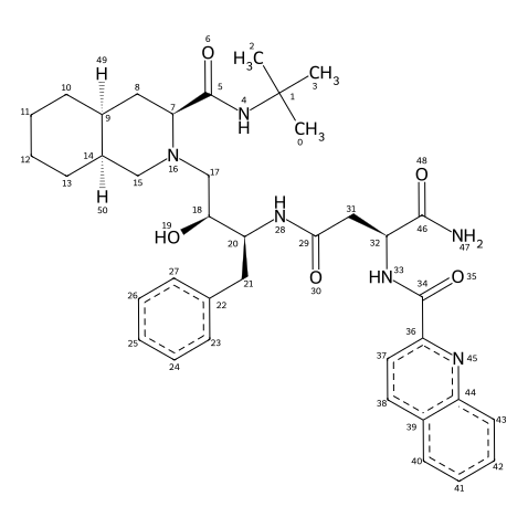 CC(C)(C)NC(=O)[C@@H]1C[C@@H]2CCCC[C@@H]2CN1C[C@H](O)[C@H](Cc1ccccc1)NC(=O)C[C@H](NC(=O)c1ccc2ccccc2n1)C(N)=O